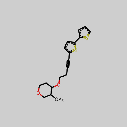 CC(=O)OC1COCCC1OCCC#Cc1ccc(-c2cccs2)s1